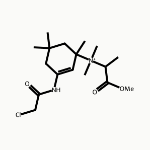 COC(=O)C(C)[N+](C)(C)C1(C)C=C(NC(=O)CCl)CC(C)(C)C1